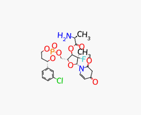 C[C@H](N)C(=O)O[C@@H]1[C@@H](COP2(=O)OCC[C@@H](c3cccc(Cl)c3)O2)O[C@@H](N2C=CC(=O)CC2=O)[C@]1(C)F